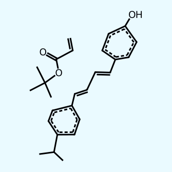 C=CC(=O)OC(C)(C)C.CC(C)c1ccc(C=CC=Cc2ccc(O)cc2)cc1